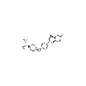 Cc1ccc2cc(-c3ccc(OC4CCN(C(=O)C5CC5)CC4)cc3)cnc2c1